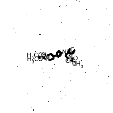 CCC(=O)N1c2ccccc2[C@H](Nc2ccc(C3=CCN(CC(=O)OC(C)(C)C)CC3)cc2)C[C@@H]1C